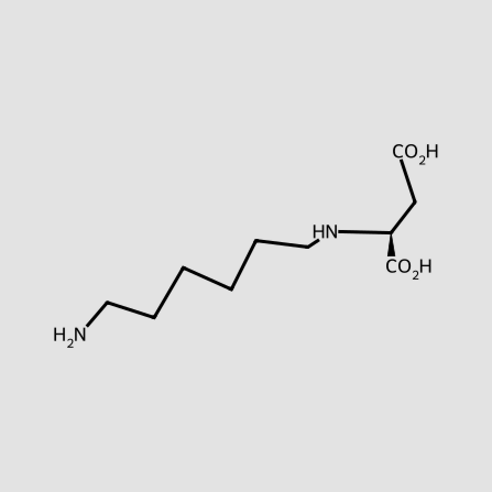 NCCCCCCN[C@@H](CC(=O)O)C(=O)O